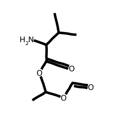 CC(OC=O)OC(=O)C(N)C(C)C